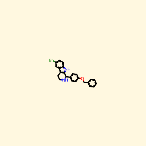 Brc1ccc2[nH]c3c(c2c1)CCNC3c1ccc(OCc2ccccc2)cc1